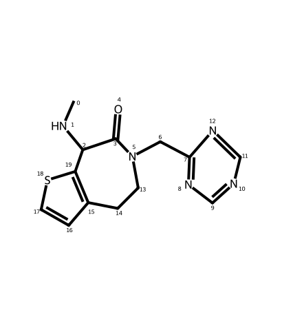 CNC1C(=O)N(Cc2ncncn2)CCc2ccsc21